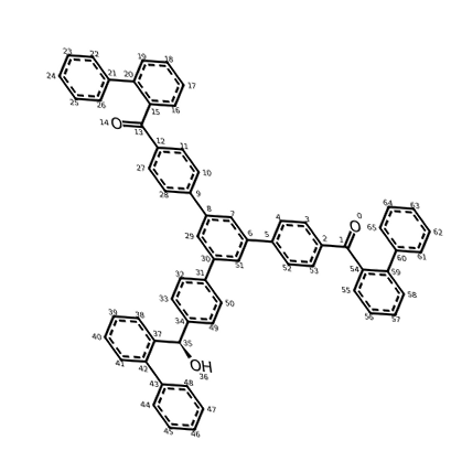 O=C(c1ccc(-c2cc(-c3ccc(C(=O)c4ccccc4-c4ccccc4)cc3)cc(-c3ccc([C@@H](O)c4ccccc4-c4ccccc4)cc3)c2)cc1)c1ccccc1-c1ccccc1